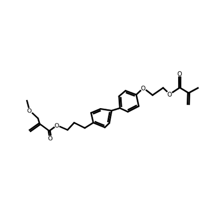 C=C(C)C(=O)OCCOc1ccc(-c2ccc(CCCOC(=O)C(=C)COC)cc2)cc1